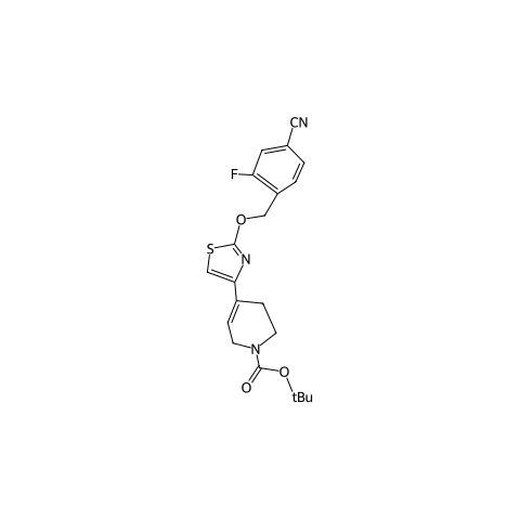 CC(C)(C)OC(=O)N1CC=C(c2csc(OCc3ccc(C#N)cc3F)n2)CC1